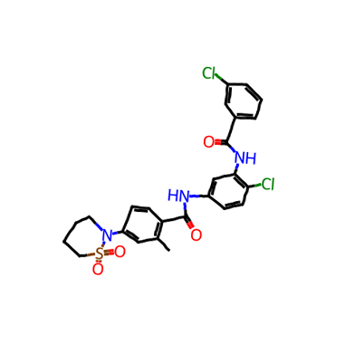 Cc1cc(N2CCCCS2(=O)=O)ccc1C(=O)Nc1ccc(Cl)c(NC(=O)c2cccc(Cl)c2)c1